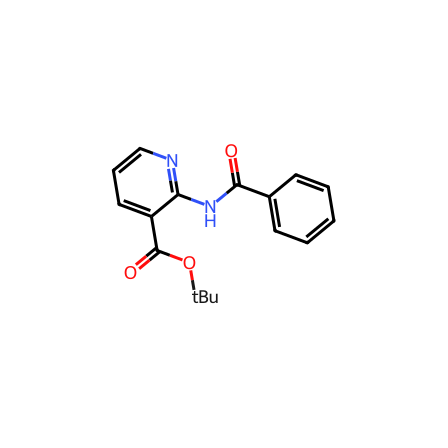 CC(C)(C)OC(=O)c1cccnc1NC(=O)c1ccccc1